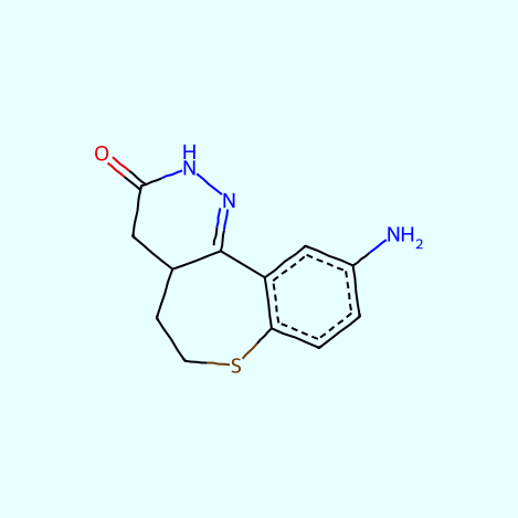 Nc1ccc2c(c1)C1=NNC(=O)CC1CCS2